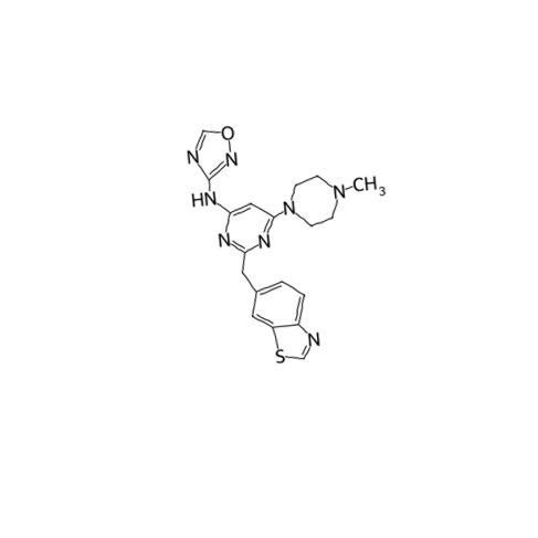 CN1CCN(c2cc(Nc3ncon3)nc(Cc3ccc4ncsc4c3)n2)CC1